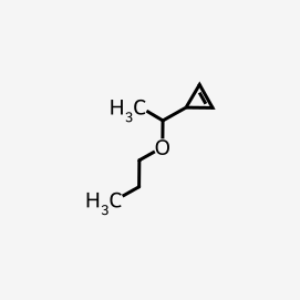 CCCOC(C)C1C=C1